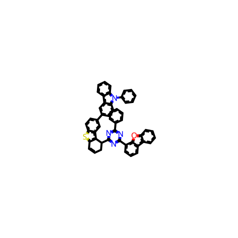 C1=Cc2sc3ccc(-c4ccc5c(c4)c4ccccc4n5-c4ccccc4)cc3c2C(c2nc(-c3ccccc3)nc(-c3cccc4c3oc3ccccc34)n2)C1